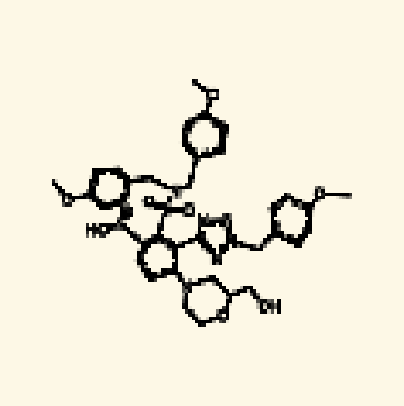 COc1ccc(CN(Cc2ccc(OC)cc2)S(=O)(=O)c2c(S(=O)O)ccc(N3CCOC(CO)C3)c2-c2nnn(Cc3ccc(OC)cc3)n2)cc1